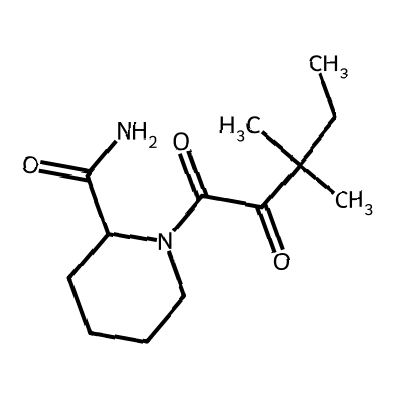 CCC(C)(C)C(=O)C(=O)N1CCCCC1C(N)=O